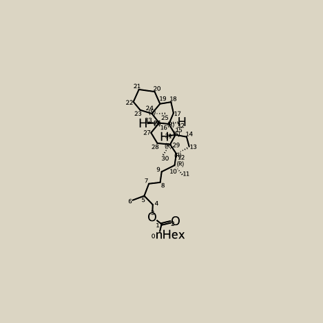 CCCCCCC(=O)OCC(C)CCC[C@@H](C)[C@H]1CC[C@H]2[C@@H]3CCC4CCCC[C@]4(C)[C@H]3CC[C@]12C